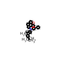 CC(C)(C)c1ccc2c(c1)-c1ccc(N(c3ccc(-c4ccccc4)cc3)c3ccc4ccccc4c3-c3cccc4oc5ccccc5c34)cc1C2(C)C